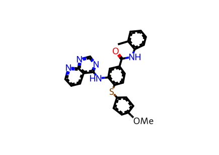 COc1ccc(Sc2ccc(C(=O)Nc3ccccc3C)cc2Nc2ncnc3ncccc23)cc1